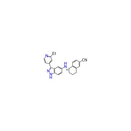 CCc1cc(-c2n[nH]c3ccc(N[C@H]4CCCc5cc(C#N)ccc54)cc23)ccn1